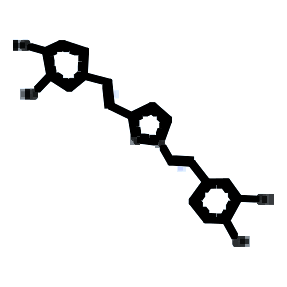 Oc1ccc(/C=C/c2ccn(/C=C/c3ccc(O)c(O)c3)n2)cc1O